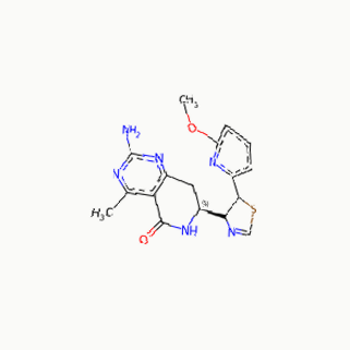 COc1cccc(C2SC=NC2[C@@H]2Cc3nc(N)nc(C)c3C(=O)N2)n1